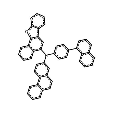 c1ccc2c(-c3ccc(N(c4ccc5c(ccc6ccccc65)c4)c4cc5c6ccccc6oc5c5ccccc45)cc3)cccc2c1